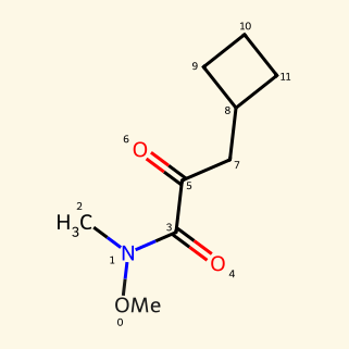 CON(C)C(=O)C(=O)CC1CCC1